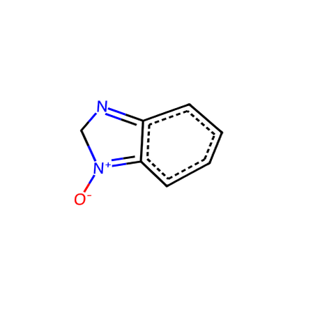 [O-][N+]1=c2ccccc2=NC1